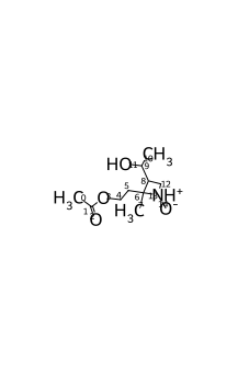 CC(=O)OCCC1(C)C(C(C)O)C[NH+]1[O-]